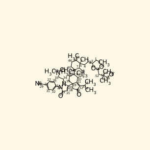 CCC(CCC1(C)C2CCC3C4=C(C(C)C)C(=O)CC4(c4cc(=O)n(-c5ccc(C#N)cc5)n4CCN(C)C)CC[C@@]3(C)C2(C)CC[C@H]1C)OC(=O)CC(C)(C)C=O